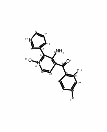 Nc1c(C(=O)c2ccc(F)cc2F)cc[n+]([O-])c1-c1cccnc1